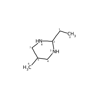 CCC1NCC(C)CN1